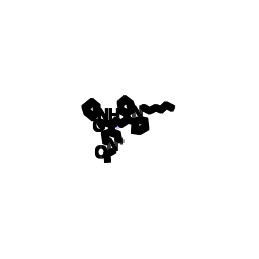 CCCCCCN1c2ccccc2C(=C/C=C(/C(=O)Nc2ccccc2)c2cc[n+](CC(C)=O)cc2)c2ccccc21